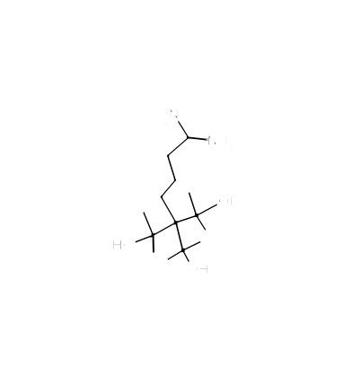 CC(C)(O)C(CCCC(N)N)(C(C)(C)O)C(C)(C)O